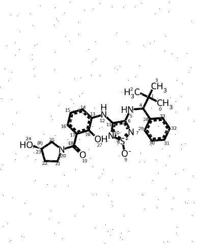 CC(C)(C)C(Nc1n[s+]([O-])nc1Nc1cccc(C(=O)N2CC[C@@H](O)C2)c1O)c1ccccc1